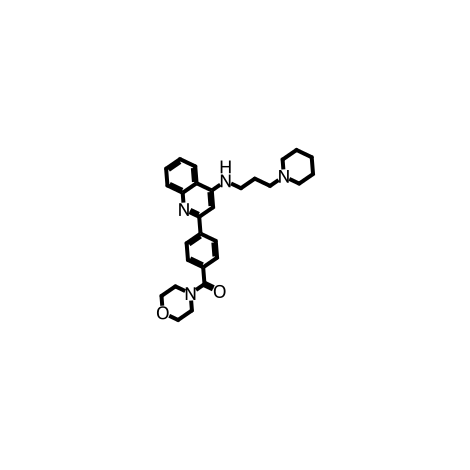 O=C(c1ccc(-c2cc(NCCCN3CCCCC3)c3ccccc3n2)cc1)N1CCOCC1